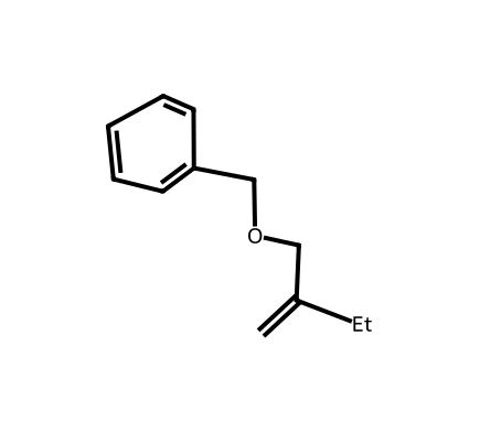 C=C(CC)COCc1ccccc1